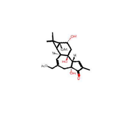 CC(=O)OCC1=C[C@H]2C3C(C)(C)[C@]3(OC(C)=O)[C@H](O)C[C@]2(O)[C@@H]2C=C(C)C(=O)[C@@]2(O)C1